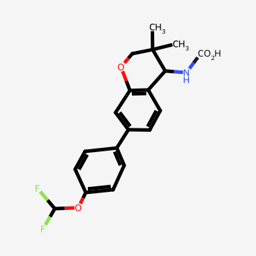 CC1(C)COc2cc(-c3ccc(OC(F)F)cc3)ccc2C1NC(=O)O